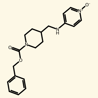 O=C(OCc1ccccc1)N1CCC(CNc2cc[n+]([O-])cc2)CC1